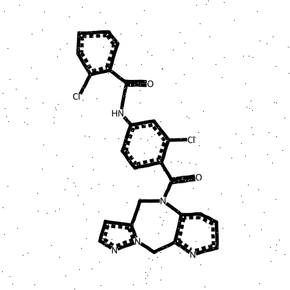 O=C(Nc1ccc(C(=O)N2Cc3ccnn3Cc3ncccc32)c(Cl)c1)c1ccccc1Cl